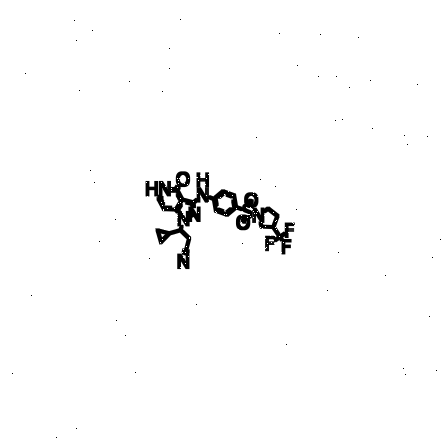 N#CCC(C1CC1)n1nc(Nc2ccc(S(=O)(=O)N3CCC(C(F)(F)F)C3)cc2)c2c(=O)[nH]ccc21